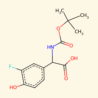 CC(C)(C)OC(=O)NC(C(=O)O)c1ccc(O)c(F)c1